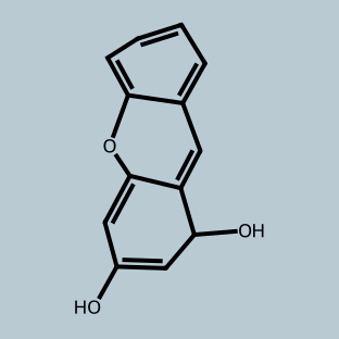 OC1=CC(O)C2=Cc3ccccc3OC2=C1